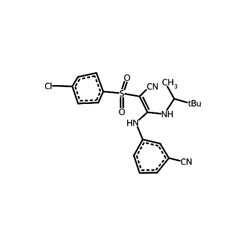 CC(NC(Nc1cccc(C#N)c1)=C(C#N)S(=O)(=O)c1ccc(Cl)cc1)C(C)(C)C